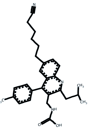 Cc1ccc(-c2c(CNC(=O)O)c(CC(C)C)nc3ccc(CCCCCC#N)cc23)cc1